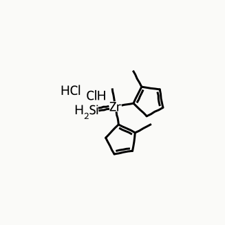 CC1=[C]([Zr]([CH3])(=[SiH2])[C]2=C(C)C=CC2)CC=C1.Cl.Cl